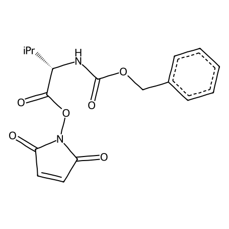 CC(C)[C@H](NC(=O)OCc1ccccc1)C(=O)ON1C(=O)C=CC1=O